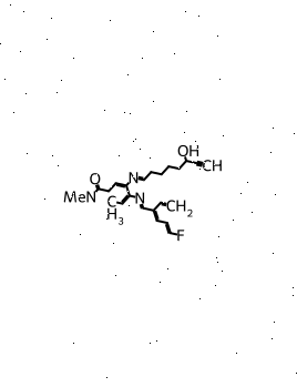 C#CC(O)CCCC/C=N/C(=C/CC(=O)NC)C(=C\C)/N=C/C(C=C)=C/C=C/F